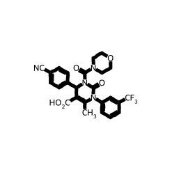 CC1=C(C(=O)O)C(c2ccc(C#N)cc2)N(C(=O)N2CCOCC2)C(=O)N1c1cccc(C(F)(F)F)c1